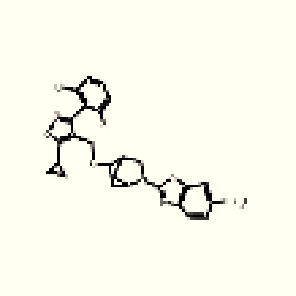 O=C(O)c1ccc2nc(N3CC4CC3CC4OCc3c(-c4c(Cl)cccc4Cl)noc3C3CC3)sc2c1